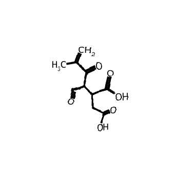 C=C(C)C(=O)C(C=O)C(CC(=O)O)C(=O)O